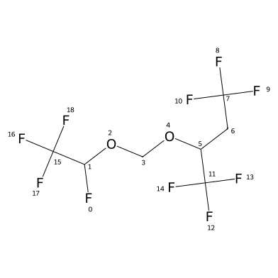 FC(OCOC(CC(F)(F)F)C(F)(F)F)C(F)(F)F